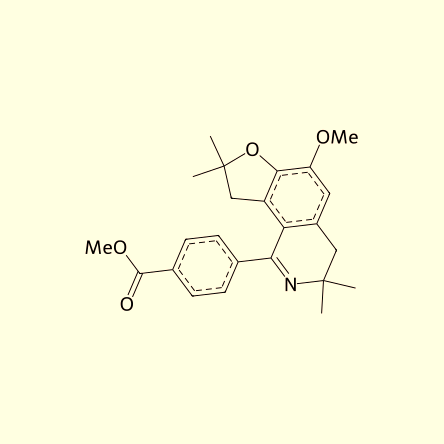 COC(=O)c1ccc(C2=NC(C)(C)Cc3cc(OC)c4c(c32)CC(C)(C)O4)cc1